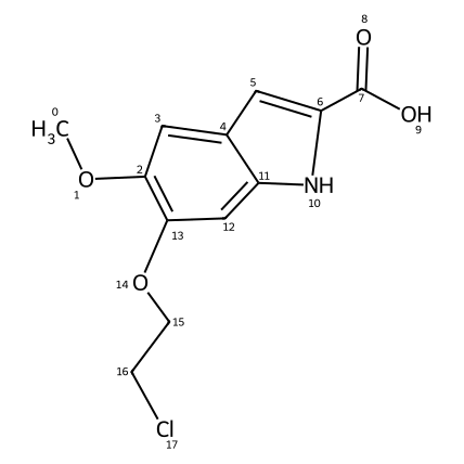 COc1cc2cc(C(=O)O)[nH]c2cc1OCCCl